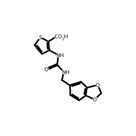 O=C(NCc1ccc2c(c1)OCO2)Nc1ccsc1C(=O)O